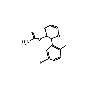 NC(=O)OC1CC=COC1c1cc(F)ccc1F